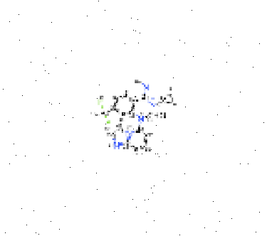 C/N=C(/NC1CC1)c1ccc(C(C)(F)F)cc1N(C=O)c1cccc2nccn12